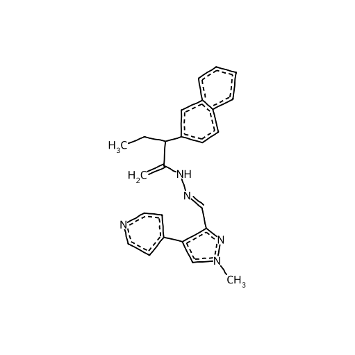 C=C(N/N=C/c1nn(C)cc1-c1ccncc1)C(CC)c1ccc2ccccc2c1